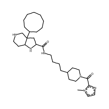 Cn1ccnc1C(=O)N1CCC(CCCCNC(=O)C2CC3(C4CCCCCCCC4)CNCCC3N2)CC1